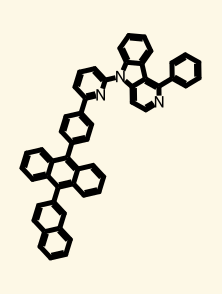 c1ccc(-c2nccc3c2c2ccccc2n3-c2cccc(-c3ccc(-c4c5ccccc5c(-c5ccc6ccccc6c5)c5ccccc45)cc3)n2)cc1